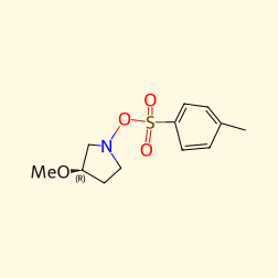 CO[C@@H]1CCN(OS(=O)(=O)c2ccc(C)cc2)C1